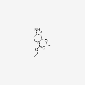 CCOC(=O)N1CCC(N)C[C@@H]1OCC